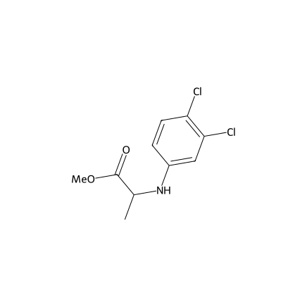 COC(=O)C(C)Nc1ccc(Cl)c(Cl)c1